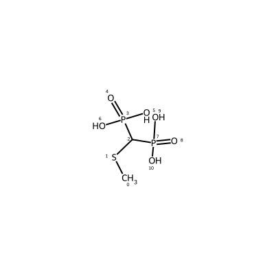 CSC(P(=O)(O)O)P(=O)(O)O